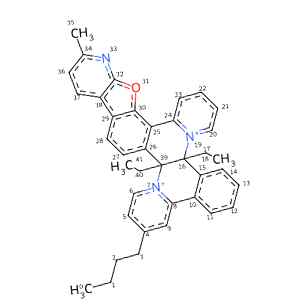 CCCCc1cc[n+]2c(c1)-c1ccccc1C1(CC)[n+]3ccccc3-c3c(ccc4c3oc3nc(C)ccc34)C21CC